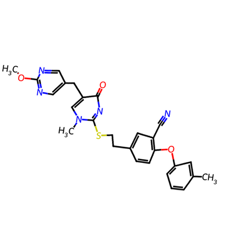 COc1ncc(Cc2cn(C)c(SCCc3ccc(Oc4cccc(C)c4)c(C#N)c3)nc2=O)cn1